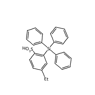 CCc1ccc(S(=O)(=O)O)c([Si](c2ccccc2)(c2ccccc2)c2ccccc2)c1